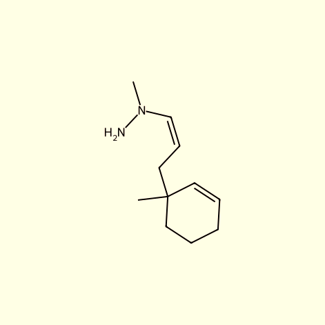 CN(N)/C=C\CC1(C)C=CCCC1